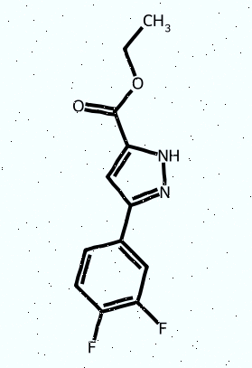 CCOC(=O)c1cc(-c2ccc(F)c(F)c2)n[nH]1